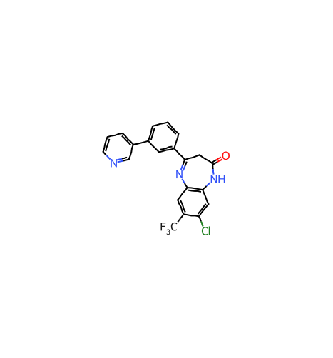 O=C1CC(c2cccc(-c3cccnc3)c2)=Nc2cc(C(F)(F)F)c(Cl)cc2N1